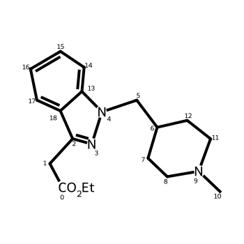 CCOC(=O)Cc1nn(CC2CCN(C)CC2)c2ccccc12